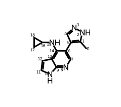 Cc1[nH]ncc1-c1cnc2[nH]ccc2c1NC1CC1